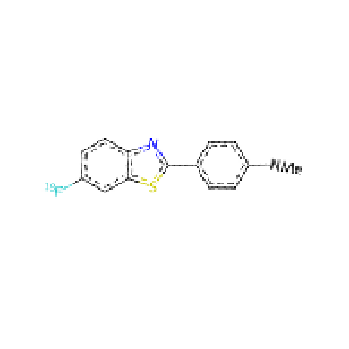 CNc1ccc(-c2nc3ccc([18F])cc3s2)cc1